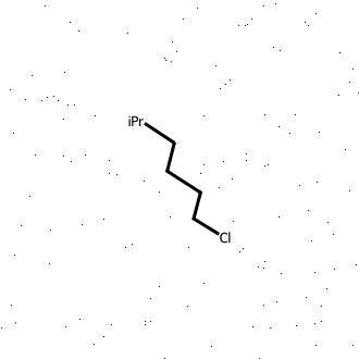 CC(C)[CH]CCCCl